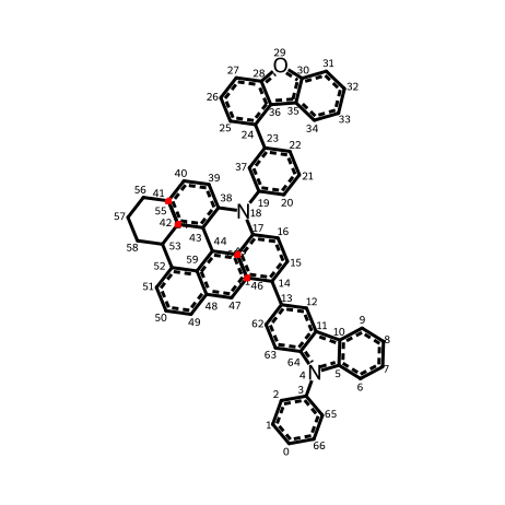 c1ccc(-n2c3ccccc3c3cc(-c4ccc(N(c5cccc(-c6cccc7oc8ccccc8c67)c5)c5ccccc5-c5cccc6cccc(C7CCCCC7)c56)cc4)ccc32)cc1